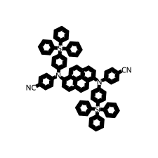 N#Cc1ccc(N(c2ccc([Si](c3ccccc3)(c3ccccc3)c3ccccc3)cc2)c2ccc3ccc4c(N(c5ccc(C#N)cc5)c5ccc([Si](c6ccccc6)(c6ccccc6)c6ccccc6)cc5)ccc5ccc2c3c54)cc1